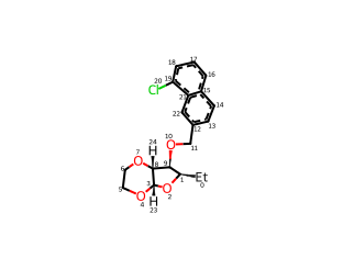 CC[C@H]1O[C@@H]2OCCO[C@@H]2[C@H]1OCc1ccc2cccc(Cl)c2c1